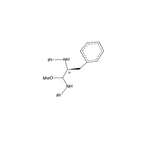 COC(NC(C)C)[C@H](Cc1ccccc1)NC(C)C